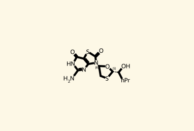 CCCC(O)[C@H]1O[C@@H](n2c(=O)sc3c(=O)[nH]c(N)nc32)CS1